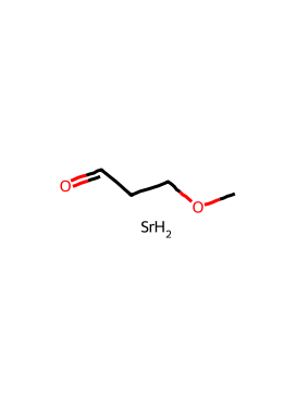 COCCC=O.[SrH2]